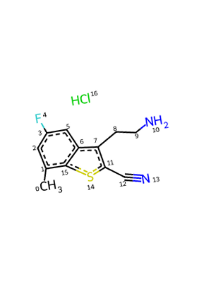 Cc1cc(F)cc2c(CCN)c(C#N)sc12.Cl